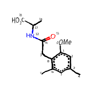 COc1cc(C)cc(C)c1CC(=O)NC(C)C(=O)O